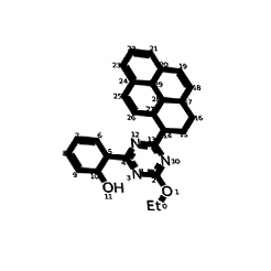 CCOc1nc(C2C=CC=CC2O)nc(C2CCC3C=CC4C=CC=C5C=CC2C3C54)n1